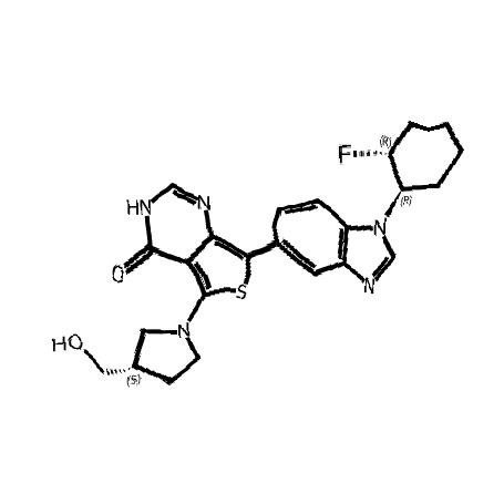 O=c1[nH]cnc2c(-c3ccc4c(c3)ncn4[C@@H]3CCCC[C@H]3F)sc(N3CC[C@H](CO)C3)c12